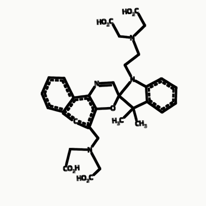 CC1(C)c2ccccc2N(CCN(CC(=O)O)CC(=O)O)C12C=Nc1c(c(CN(CC(=O)O)CC(=O)O)cc3ccccc13)O2